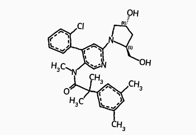 Cc1cc(C)cc(C(C)(C)C(=O)N(C)c2cnc(N3C[C@H](O)C[C@H]3CO)cc2-c2ccccc2Cl)c1